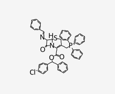 O=C(OC(c1ccccc1)c1ccccc1)C1=C(C[P+](c2ccccc2)(c2ccccc2)c2ccccc2)CS[C@H]2C(N=Cc3ccccc3)C(=O)N12.[Cl-]